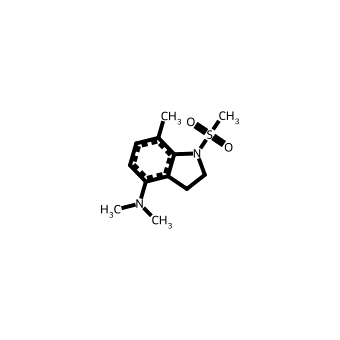 Cc1ccc(N(C)C)c2c1N(S(C)(=O)=O)CC2